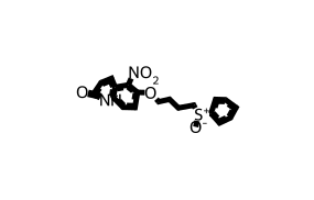 O=c1ccc2c([N+](=O)[O-])c(OCCCC[S+]([O-])c3ccccc3)ccc2[nH]1